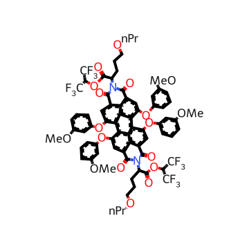 CCCOCCCC(C(=O)OC(C(F)(F)F)C(F)(F)F)N1C(=O)c2cc(Oc3cccc(OC)c3)c3c4c(Oc5cccc(OC)c5)cc5c6c(cc(Oc7cccc(OC)c7)c(c7c(Oc8cccc(OC)c8)cc(c2c37)C1=O)c64)C(=O)N(C(CCCOCCC)C(=O)OC(C(F)(F)F)C(F)(F)F)C5=O